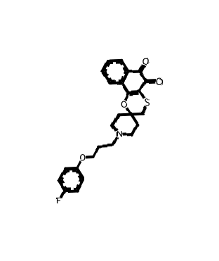 O=C1C(=O)c2ccccc2C2=C1SCC1(CCN(CCCOc3ccc(F)cc3)CC1)O2